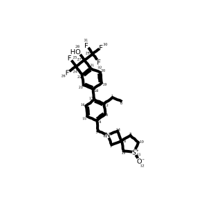 CCc1cc(CN2CC3(CC[S+]([O-])C3)C2)ccc1-c1ccc2c(c1)C(F)(F)C2(O)C(F)(F)F